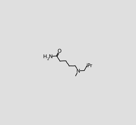 CC(C)CN(C)CCCCC(N)=O